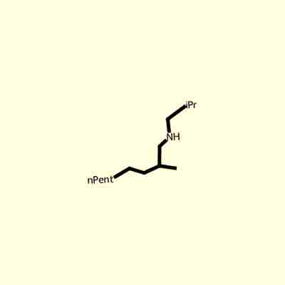 CCCCCCCC(C)CNCC(C)C